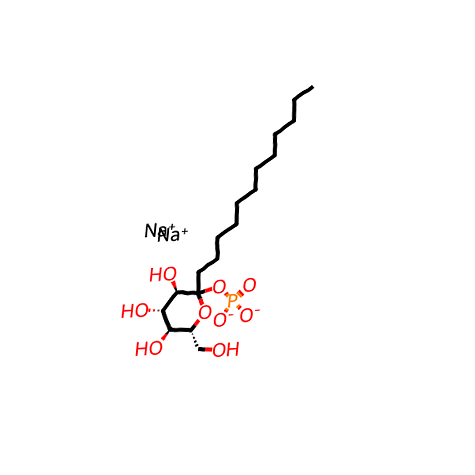 CCCCCCCCCCCCC1(OP(=O)([O-])[O-])O[C@H](CO)[C@@H](O)[C@H](O)[C@H]1O.[Na+].[Na+]